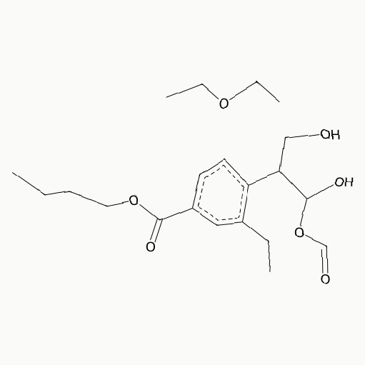 CCCCOC(=O)c1ccc(C(CO)C(O)OC=O)c(CC)c1.CCOCC